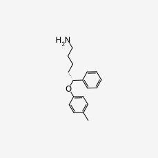 Cc1ccc(O[C@H](CCCCN)c2ccccc2)cc1